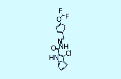 O=C(NN=Cc1ccc(OC(F)F)cc1)c1[nH]c2ccccc2c1Cl